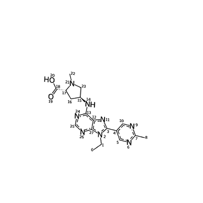 CCn1c(-c2cnc(C)nc2)nc2c(N[C@H]3C[C@H](C(=O)O)N(C)C3)ncnc21